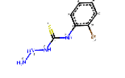 NNNC(=S)Nc1ccccc1Br